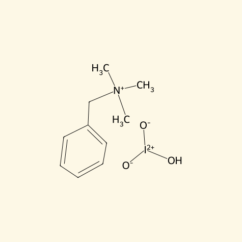 C[N+](C)(C)Cc1ccccc1.[O-][I+2]([O-])O